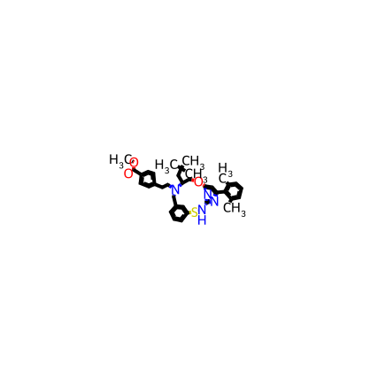 COC(=O)c1ccc(CCN2Cc3cccc(c3)SNc3nc(cc(-c4c(C)cccc4C)n3)OCC2CC(C)(C)C)cc1